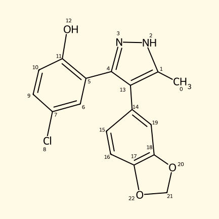 Cc1[nH]nc(-c2cc(Cl)ccc2O)c1-c1ccc2c(c1)OCO2